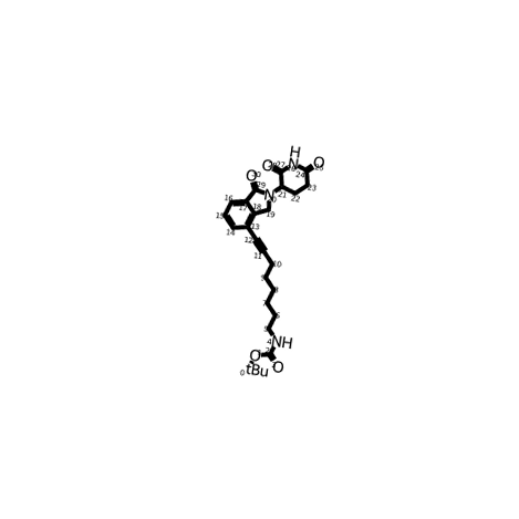 CC(C)(C)OC(=O)NCCCCCCC#Cc1cccc2c1CN(C1CCC(=O)NC1=O)C2=O